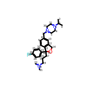 CC(C)N1CCN(Cc2ccc3c(c2)COC3(CCCN(C)C)c2ccc(F)cc2)CC1